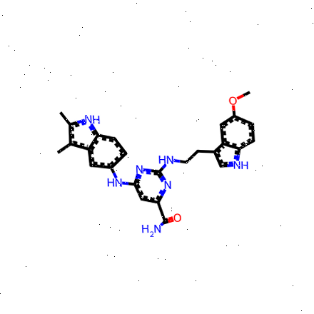 COc1ccc2[nH]cc(CCNc3nc(Nc4ccc5[nH]c(C)c(C)c5c4)cc(C(N)=O)n3)c2c1